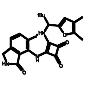 Cc1cc(C(Nc2c(Nc3c(F)ccc4c3C(=O)NC4)c(=O)c2=O)C(C)(C)C)oc1C